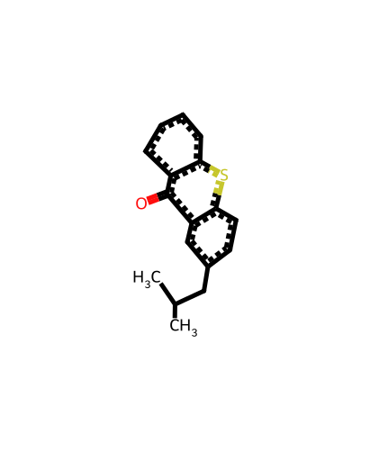 CC(C)Cc1ccc2sc3ccccc3c(=O)c2c1